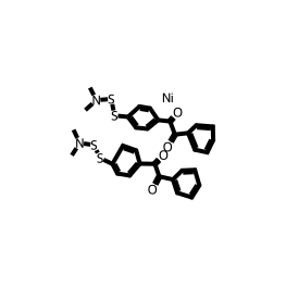 CN(C)SSc1ccc(C(=O)C(=O)c2ccccc2)cc1.CN(C)SSc1ccc(C(=O)C(=O)c2ccccc2)cc1.[Ni]